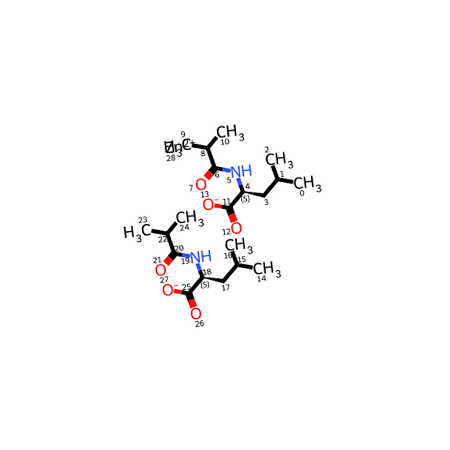 CC(C)C[C@H](NC(=O)C(C)C)C(=O)[O-].CC(C)C[C@H](NC(=O)C(C)C)C(=O)[O-].[Zn+2]